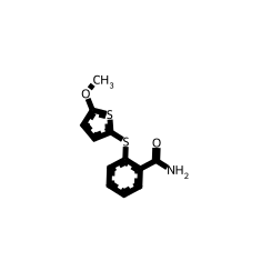 COc1ccc(Sc2ccccc2C(N)=O)s1